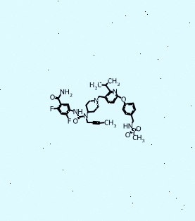 CC#CCN(C(=O)Nc1cc(C(N)=O)c(F)cc1F)C1CCN(Cc2ccc(Oc3ccc(CNS(C)(=O)=O)cc3)nc2C(C)C)CC1